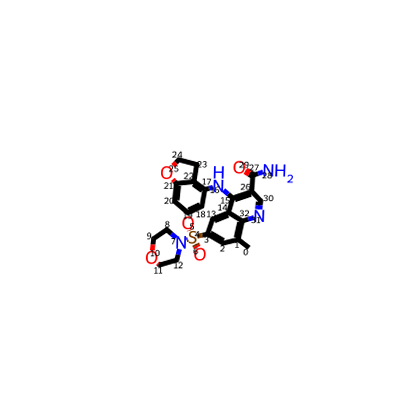 Cc1cc(S(=O)(=O)N2CCOCC2)cc2c(Nc3cccc4c3CCO4)c(C(N)=O)cnc12